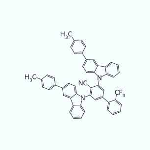 Cc1ccc(-c2ccc3c(c2)c2ccccc2n3-c2cc(-c3ccccc3C(F)(F)F)cc(-n3c4ccccc4c4cc(-c5ccc(C)cc5)ccc43)c2C#N)cc1